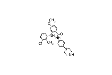 COc1ccc(C(=O)Nc2ccc(N3CCNCC3)cc2)c(Nc2cccc(Cl)c2C)c1